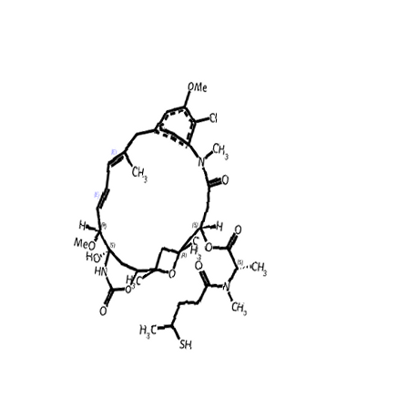 COc1cc2cc(c1Cl)N(C)C(=O)C[C@H](OC(=O)[C@H](C)N(C)C(=O)CCC(C)S)[C@@]1(C)CC(C)(O1)C1C[C@@](O)(NC(=O)O1)[C@H](OC)/C=C/C=C(\C)C2